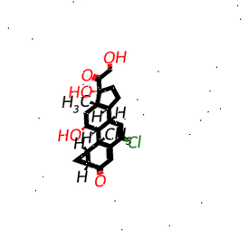 C[C@@]12C(=CC(=O)[C@@H]3C[C@@H]31)C(Cl)=C[C@@H]1[C@@H]2[C@@H](O)C[C@@]2(C)[C@H]1CC[C@]2(O)C(=O)CO